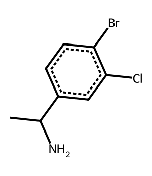 CC(N)c1ccc(Br)c(Cl)c1